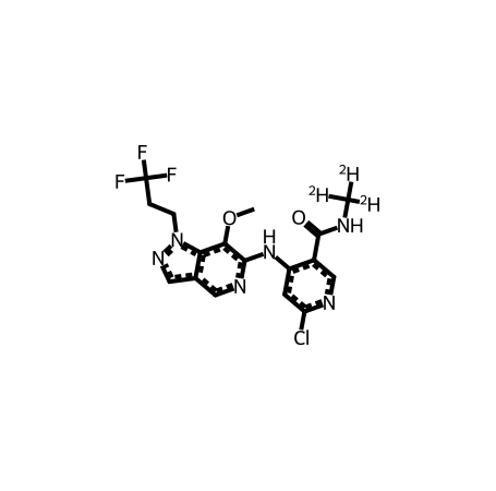 [2H]C([2H])([2H])NC(=O)c1cnc(Cl)cc1Nc1ncc2cnn(CCC(F)(F)F)c2c1OC